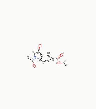 CCOC(=O)c1ccc2c(c1)C(=O)CN2C(C)=O